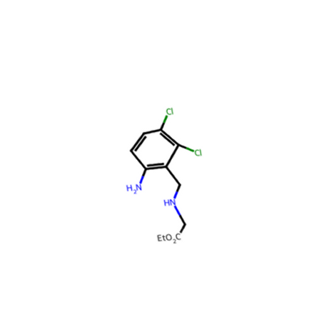 CCOC(=O)CNCc1c(N)ccc(Cl)c1Cl